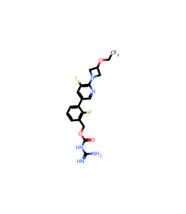 N=C(N)NC(=O)OCc1cccc(-c2cnc(N3CC(OCC(F)(F)F)C3)c(F)c2)c1F